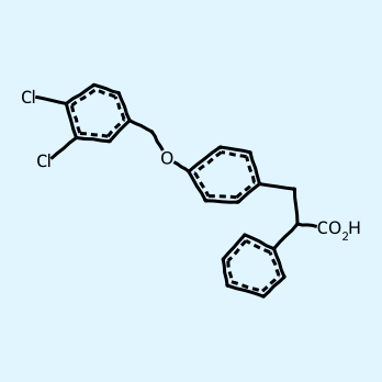 O=C(O)C(Cc1ccc(OCc2ccc(Cl)c(Cl)c2)cc1)c1ccccc1